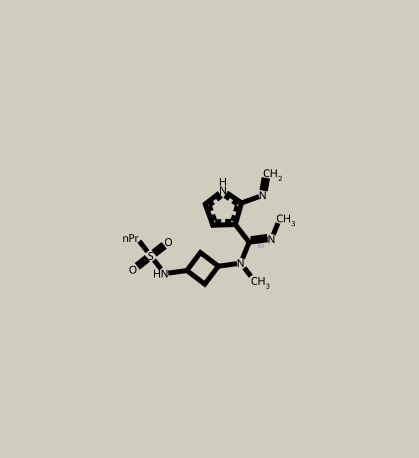 C=Nc1[nH]ccc1/C(=N\C)N(C)C1CC(NS(=O)(=O)CCC)C1